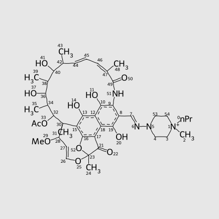 CCC[N+]1(C)CCN(/N=C/c2c3c(O)c4c(O)c5c6c(c4c2O)C(=O)C(C)(O/C=C/C(OC)C5(C)C(OC(C)=O)C(C)C(O)C(C)C(O)C(C)/C=C/C=C(/C)C(=O)N3)O6)CC1